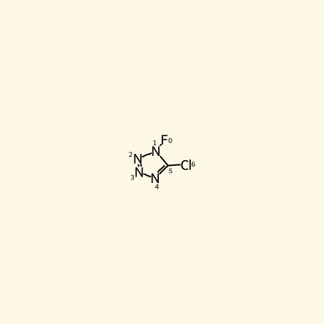 Fn1nnnc1Cl